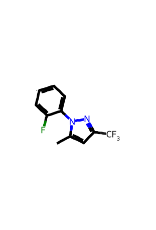 Cc1cc(C(F)(F)F)nn1-c1cc[c]cc1F